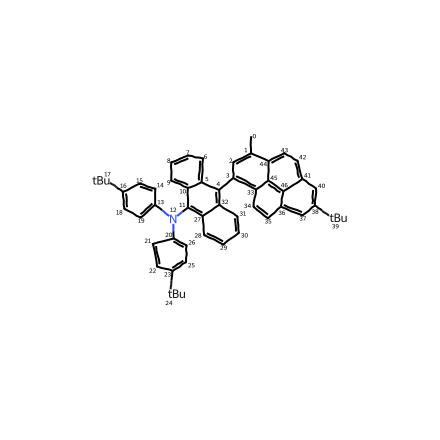 Cc1cc(-c2c3ccccc3c(N(c3ccc(C(C)(C)C)cc3)c3ccc(C(C)(C)C)cc3)c3ccccc23)c2ccc3cc(C(C)(C)C)cc4ccc1c2c43